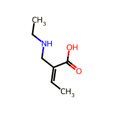 CC=C(CNCC)C(=O)O